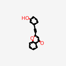 O=c1cc(C#Cc2cccc(O)c2)oc2ccccc12